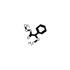 COSC(=O)C(OC)c1ccccc1